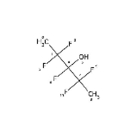 CC(F)(F)C(O)(F)C(C)(F)F